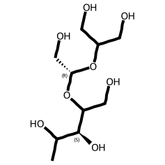 CC(O)[C@H](O)C(CO)O[C@H](CO)OC(CO)CO